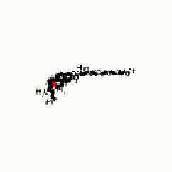 CCOCCOCCOCCOCCNC(=O)CNC(=O)OC1CC[C@@]2(C)C(=CC[C@H]3[C@@H]4CC[C@H]([C@H](C)CCCC(C)C)[C@@]4(C)CC[C@@H]32)C1